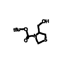 CC(C)(C)OC(=O)N1CSCC1CO